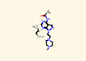 CN1CCN(CCn2ncc3c(NC(=O)C(C)(C)C)ncnc32)CC1.O=C(O)C=CC(=O)O